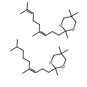 CC(=CCCC1(C)OCC(C)(C)CO1)CCCC(C)C.CC(C)=CCCC(C)=CCCC1(C)OCC(C)(C)CO1